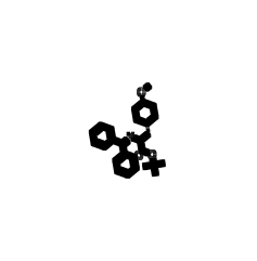 CO[C@H]1CC[C@H](CC(N=C(c2ccccc2)c2ccccc2)C(=O)OC(C)(C)C)CC1